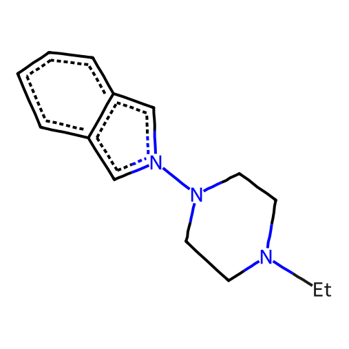 CCN1CCN(n2cc3ccccc3c2)CC1